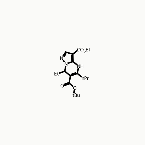 CCCC1=C(C(=O)OC(C)(C)C)C(CC)n2ncc(C(=O)OCC)c2N1